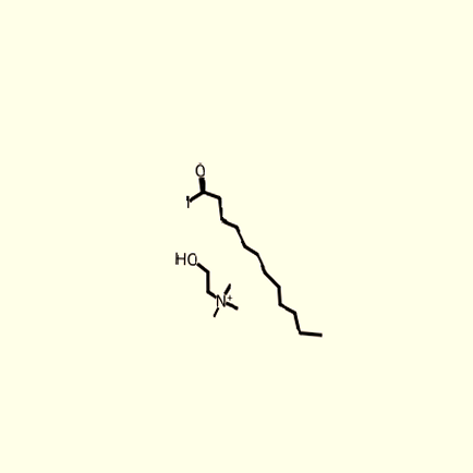 CCCCCCCCCCCC(=O)I.C[N+](C)(C)CCO